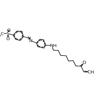 C=CC(=O)CCCCCCCNc1ccc(N=Nc2ccc(S(C)(=O)=O)cc2)cc1